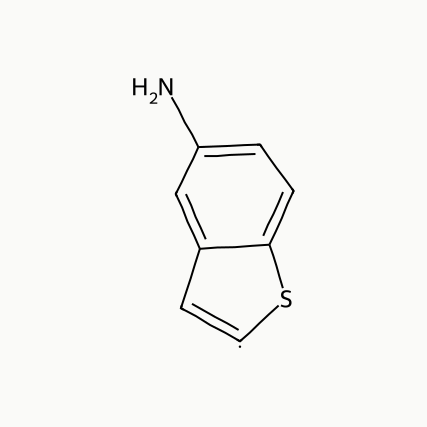 Nc1ccc2s[c]cc2c1